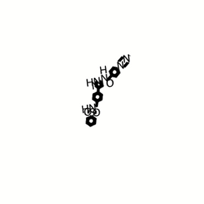 CN1CCN(c2ccc(C(=O)Nc3cc(-c4ccc(CNS(=O)(=O)c5ccccc5)cc4)n[nH]3)cc2)CC1